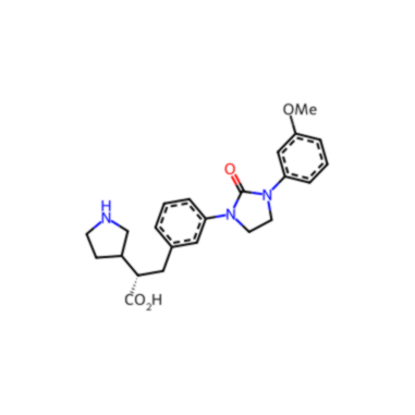 COc1cccc(N2CCN(c3cccc(C[C@H](C(=O)O)C4CCNC4)c3)C2=O)c1